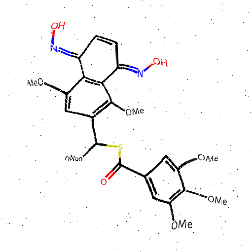 CCCCCCCCCC(SC(=O)c1cc(OC)c(OC)c(OC)c1)c1cc(OC)c2c(c1OC)C(=NO)C=CC2=NO